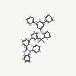 CC1(C)c2ccccc2N(c2cc(-c3ccccc3)cc(-c3ccccc3)c2)c2ccc(-c3cccc(-c4nc5ccccc5n4-c4ccccc4)c3)cc21